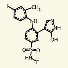 Cc1cc(I)ccc1Nc1ccc(S(=O)(=O)NF)cc1-c1cn[nH]c1O